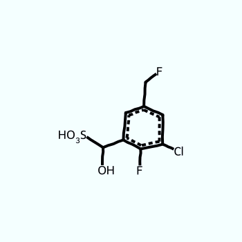 O=S(=O)(O)C(O)c1cc(CF)cc(Cl)c1F